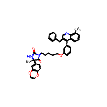 CCC1(c2ccc3c(c2)OCCO3)NC(=O)N(CCCCCOc2cccc(-c3c(Cc4ccccc4)cnc4c(C(F)(F)F)cccc34)c2)C1=O